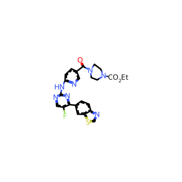 CCOC(=O)N1CCN(C(=O)c2ccc(Nc3ncc(F)c(-c4ccc5ncsc5c4)n3)nc2)CC1